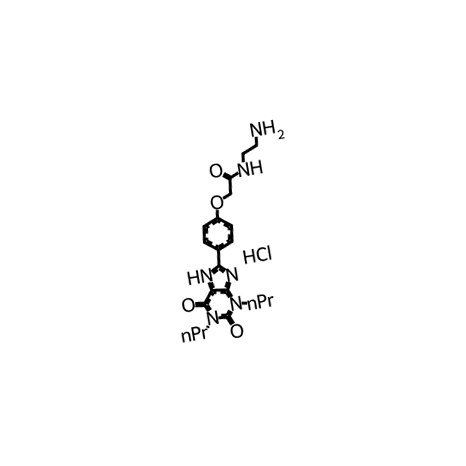 CCCn1c(=O)c2[nH]c(-c3ccc(OCC(=O)NCCN)cc3)nc2n(CCC)c1=O.Cl